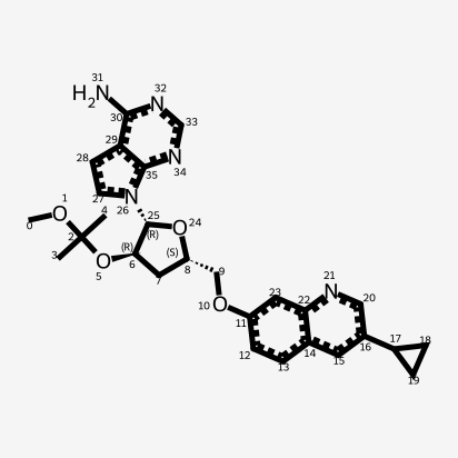 COC(C)(C)O[C@@H]1C[C@@H](COc2ccc3cc(C4CC4)cnc3c2)O[C@H]1n1ccc2c(N)ncnc21